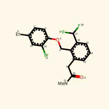 CCc1ccc(OCc2c(CC(=O)NC)cccc2C(F)F)c(Br)c1